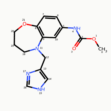 COC(=O)Nc1ccc2c(c1)N(Cc1c[nH]cn1)CCCO2